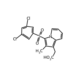 Cc1c(CC(=O)O)c2ccccn2c1S(=O)(=O)c1cc(Cl)cc(Cl)c1